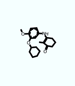 COc1ccc(NC2=C(C)C(=O)CCC2)cc1OC1CCCCC1